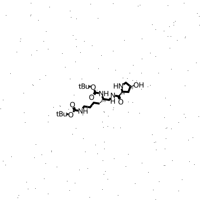 CC(C)(C)OC(=O)NCCCC[C@@H](CNC(=O)[C@@H]1C[C@@H](O)CN1)NC(=O)OC(C)(C)C